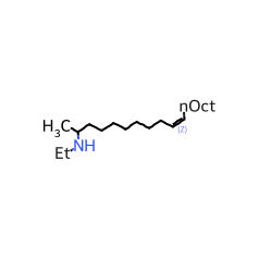 CCCCCCCC/C=C\CCCCCCCC(C)NCC